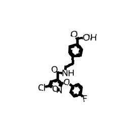 O=C(O)c1ccc(CCNC(=O)c2cc(Cl)cnc2Oc2ccc(F)cc2)cc1